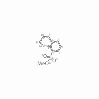 COS(=O)(=O)c1cccc2cccnc12